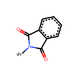 C[C](C)N1C(=O)c2ccccc2C1=O